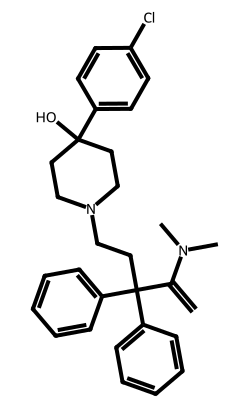 C=C(N(C)C)C(CCN1CCC(O)(c2ccc(Cl)cc2)CC1)(c1ccccc1)c1ccccc1